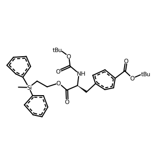 CC(C)(C)OC(=O)N[C@@H](Cc1ccc(C(=O)OC(C)(C)C)cc1)C(=O)OCC[Si](C)(c1ccccc1)c1ccccc1